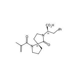 C=C(C)C(=O)N1CCC[C@]12CCN([C@H](CC(C)C)C(=O)O)C2=O